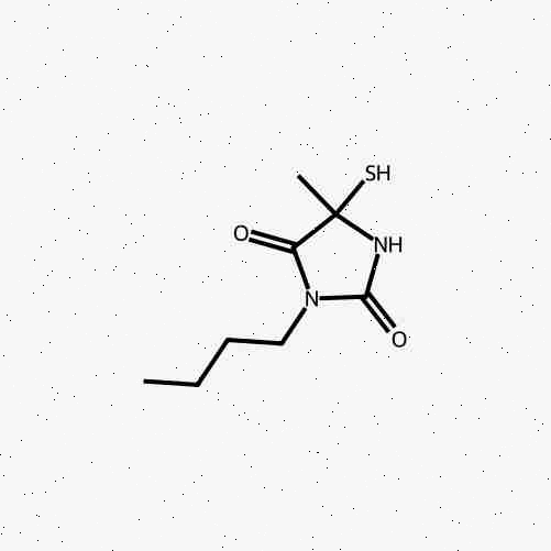 CCCCN1C(=O)NC(C)(S)C1=O